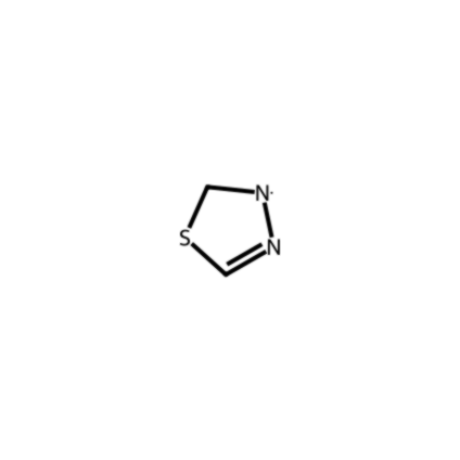 C1=N[N]CS1